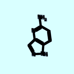 Nc1ccc2[nH]ncc2n1